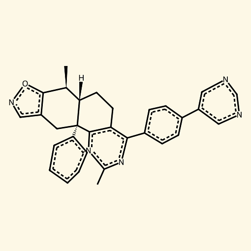 Cc1nc(-c2ccc(-c3cncnc3)cc2)c2c(n1)[C@@]1(c3ccccc3)Cc3cnoc3[C@@H](C)[C@@H]1CC2